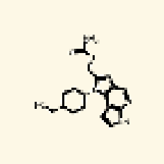 N#CC[C@H]1CC[C@H](n2c(COC(N)=O)nc3cnc4[nH]ccc4c32)CC1